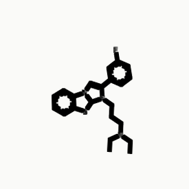 CCN(CC)CCCN1C(c2cccc(F)c2)=CN2c3ccccc3SC12